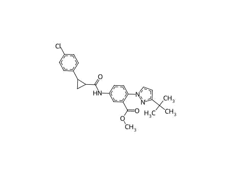 COC(=O)c1cc(NC(=O)C2CC2c2ccc(Cl)cc2)ccc1-n1ccc(C(C)(C)C)n1